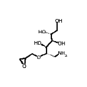 NC[C@H](OCC1CO1)[C@@H](O)[C@H](O)[C@H](O)CO